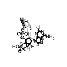 N.N.N.N.Nc1nc(Cl)nc2c1ncn2[C@H]1C[C@H](OP(=O)(O)O)[C@@]2(CP(=O)(O)O)C[C@H]12